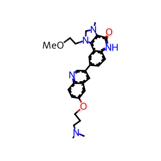 COCCN1CN(C)c2c1c1cc(-c3cnc4ccc(OCCCN(C)C)cc4c3)ccc1[nH]c2=O